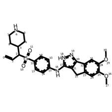 C=CC(C1CCNCC1)S(=O)(=O)c1ccc(Nc2[nH]nc3c2Cc2cc(OC)c(OC)cc2-3)cc1